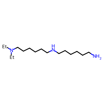 CCN(CC)CCCCCCNCCCCCCN